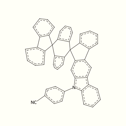 N#Cc1ccc(-n2c3ccccc3c3cc4c(cc32)C2(c3ccccc3-4)c3ccccc3C3(c4ccccc4-c4ccccc43)c3ccccc32)cc1